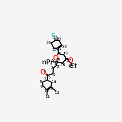 CCCC1(CCCC(=O)C2CCC(C)=C(C)C2)CC(OCC)CC(C2=CCC(F)CC2)O1